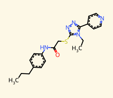 CCCc1ccc(NC(=O)CSc2nnc(-c3ccncc3)n2CC)cc1